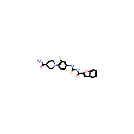 NC(=O)C1CCN(c2ccc(NC(=S)NC(=O)c3cc4ccccc4o3)cc2F)CC1